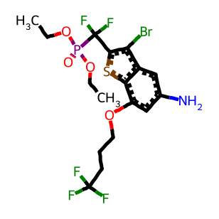 CCOP(=O)(OCC)C(F)(F)c1sc2c(OCCCC(F)(F)F)cc(N)cc2c1Br